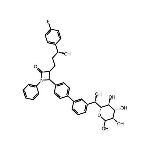 O=C1C(CC[C@H](O)c2ccc(F)cc2)C(c2ccc(-c3cccc([C@@H](O)[C@H]4OC(O)[C@H](O)[C@@H](O)[C@@H]4O)c3)cc2)N1c1ccccc1